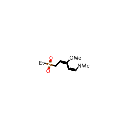 CCS(=O)(=O)C/C=C(\C=C/NC)OC